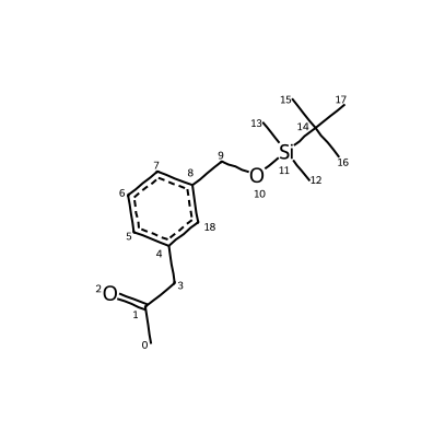 CC(=O)Cc1cccc(CO[Si](C)(C)C(C)(C)C)c1